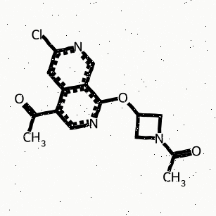 CC(=O)c1cnc(OC2CN(C(C)=O)C2)c2cnc(Cl)cc12